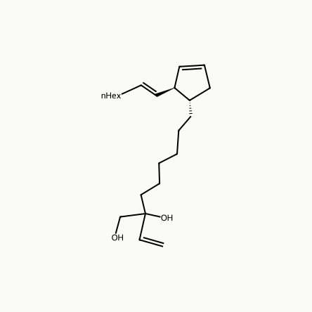 C=CC(O)(CO)CCCCCC[C@H]1CC=C[C@@H]1C=CCCCCCC